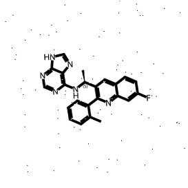 Cc1ccccc1-c1nc2cc(F)ccc2cc1[C@H](C)Nc1ncnc2[nH]cnc12